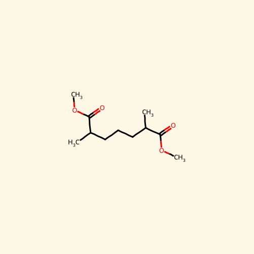 COC(=O)C(C)CCCC(C)C(=O)OC